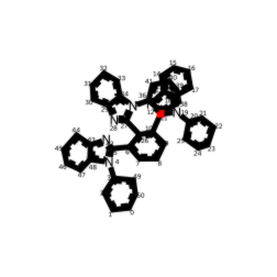 c1ccc(-n2c(-c3cccc(-c4nc5ccccc5n4-c4ccccc4)c3-c3nc4ccccc4n3-c3ccccc3)nc3ccccc32)cc1